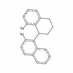 [2H]c1cccc2c1C(c1c([2H])ccc3ccccc13)CCC2